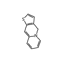 C1=CC2=Cc3sccc3CN2C=C1